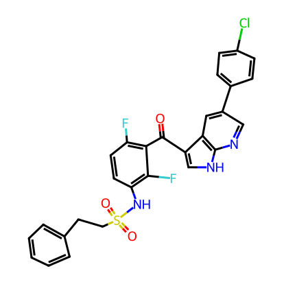 O=C(c1c(F)ccc(NS(=O)(=O)CCc2ccccc2)c1F)c1c[nH]c2ncc(-c3ccc(Cl)cc3)cc12